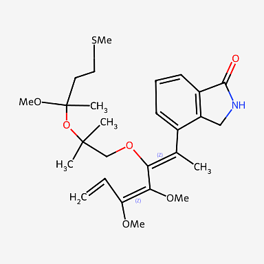 C=C/C(OC)=C(OC)\C(OCC(C)(C)OC(C)(CCSC)OC)=C(/C)c1cccc2c1CNC2=O